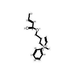 C=C[Si](C)(CCCOC(=O)C=CC)c1ccccc1